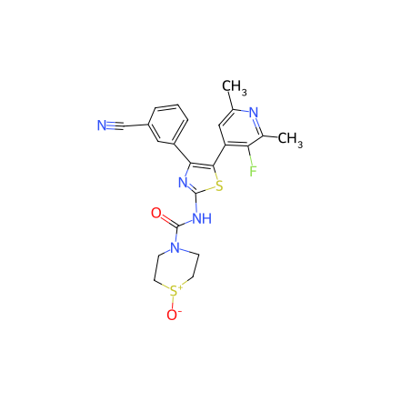 Cc1cc(-c2sc(NC(=O)N3CC[S+]([O-])CC3)nc2-c2cccc(C#N)c2)c(F)c(C)n1